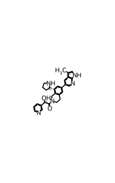 Cc1c[nH]c2ncc(-c3cc4c(c([C@@H]5CCCN5)c3)CN(C(=O)[C@H](O)c3cccnc3)CC4)cc12